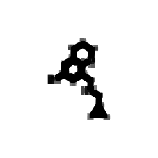 Brc1cc2c(c(CNCC3CC3)c1)OCCC2